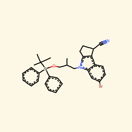 CC(CO[Si](c1ccccc1)(c1ccccc1)C(C)(C)C)Cn1c2c(c3ccc(Br)cc31)C(C#N)CC2